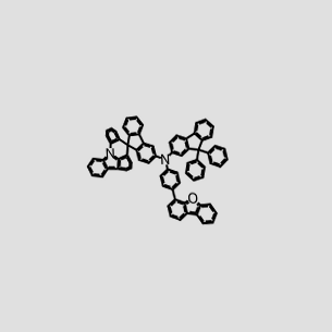 c1ccc(C2(c3ccccc3)c3ccccc3-c3ccc(N(c4ccc(-c5cccc6c5oc5ccccc56)cc4)c4ccc5c(c4)-c4ccccc4C54c5ccccc5-n5c6ccccc6c6cccc4c65)cc32)cc1